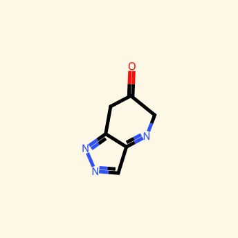 O=C1CN=C2C=NN=C2C1